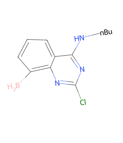 Bc1cccc2c(NCCCC)nc(Cl)nc12